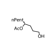 CCCCC[C@@H](CCCO)OC(C)=O